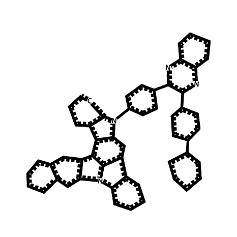 c1ccc(-c2ccc(-c3nc4ccccc4nc3-c3ccc(-n4c5ccccc5c5c6c7cc8ccccc8cc7n7c8ccccc8c(cc54)c67)cc3)cc2)cc1